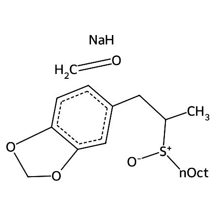 C=O.CCCCCCCC[S+]([O-])C(C)Cc1ccc2c(c1)OCO2.[NaH]